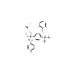 COC(=O)N1CCC(c2ccc(C(OCc3c(F)cccc3F)(C(F)(F)F)C(F)(F)F)cc2)(S(=O)(=O)c2ccc(F)cc2)C1